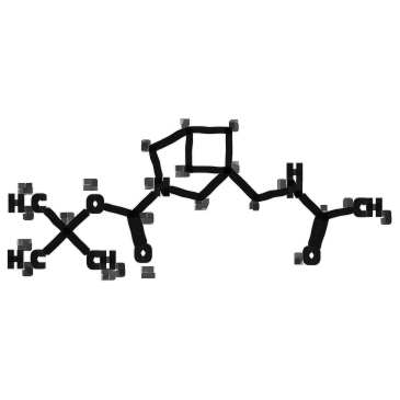 CC(=O)NCC12CC(CN(C(=O)OC(C)(C)C)C1)C2